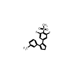 CS(=O)(=O)c1c(F)cc(C2=CCC=C2c2cccc(C(F)(F)F)c2)cc1F